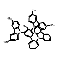 CC(C)(C)c1ccc2c(c1)c1cc(C(C)(C)C)ccc1n2-c1cc(-c2ccccc2-n2c3ccccc3c3cccnc32)cc(-n2c3ccc(C(C)(C)C)cc3c3cc(C(C)(C)C)ccc32)c1C#N